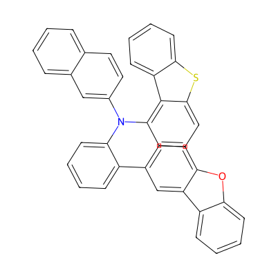 c1ccc(N(c2ccc3ccccc3c2)c2cccc3sc4ccccc4c23)c(-c2ccc3oc4ccccc4c3c2)c1